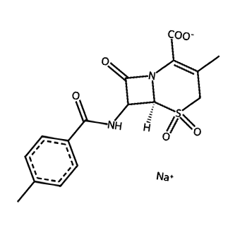 CC1=C(C(=O)[O-])N2C(=O)C(NC(=O)c3ccc(C)cc3)[C@@H]2S(=O)(=O)C1.[Na+]